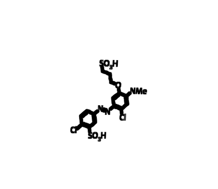 CNc1cc(Cl)c(N=Nc2ccc(Cl)c(S(=O)(=O)O)c2)cc1OCCCS(=O)(=O)O